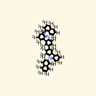 [2H]c1c([2H])c([2H])c2c([2H])c(-n3c4c([2H])c([2H])c([2H])c([2H])c4c4c([2H])c(-c5c([2H])c([2H])c6c(c5[2H])c5c([2H])c([2H])c([2H])c([2H])c5n6-c5c([2H])c([2H])c([2H])c6c([2H])c([2H])c([2H])c([2H])c56)c([2H])c([2H])c43)c([2H])c([2H])c2c1[2H]